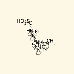 CN1CC[15N](CC2CCC[15N]2C[13C](=O)[15NH][13CH2][13CH2][13CH2][13C](=O)NCC[13CH2][13C](=O)O)[13CH2][13CH2]1